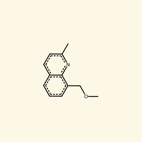 COCc1cccc2ccc(C)nc12